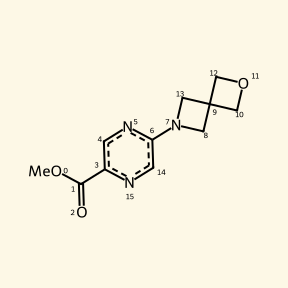 COC(=O)c1cnc(N2CC3(COC3)C2)cn1